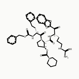 N=C(N)NCCC[C@H](NC(=O)[C@@H]1[C@@H](OC(=O)N2CCCCC2)CCN1C(=O)[C@@H](CCc1ccccc1)NC(=O)OCc1ccccc1)C(=O)c1nc2ccccc2o1